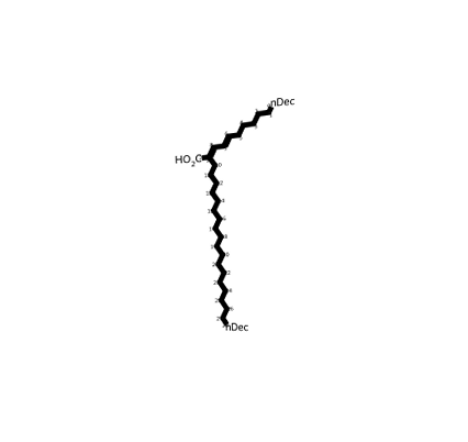 CCCCCCCCCCCCCCCC=CC=C(CCCCCCCCCCCCCCCCCCCCCCCCCCCC)C(=O)O